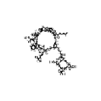 CCCCCC(=O)N[C@H]1CSCc2cc(CSCCNC(=O)CN3CCN(CC(=O)O)CCN(CC(=O)O)CCN(CC(=O)O)CC3)cc(c2)CSC[C@@H](C(=O)NCCCC(=O)O)NC(=O)[C@H](Cc2ccccc2)NC(=O)[C@H](CCC(N)=O)NC(=O)[C@H]([C@@H](C)O)NC(=O)[C@@H]2CCCN2C(=O)[C@@H]2CCCN2C1=O